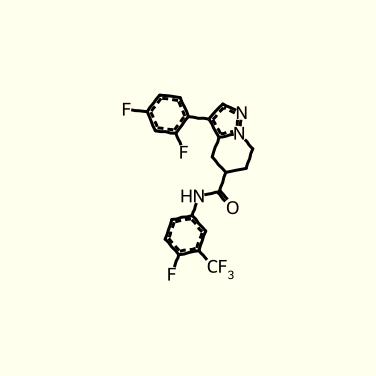 O=C(Nc1ccc(F)c(C(F)(F)F)c1)C1CCn2ncc(-c3ccc(F)cc3F)c2C1